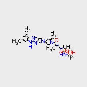 C/C(=C\C=C(/C)S(=O)(=O)NC(O)C(C)C)C(=O)N1CC[C@H](N2Cc3cnc(Nc4cc(C)cc(C)c4)nc3C2)C[C@@H]1C